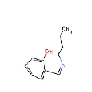 CCCC/N=C\c1ccccc1O